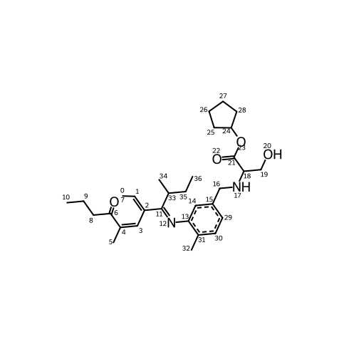 C/C=C(\C=C(\C)C(=O)CCC)C(=N/c1cc(CNC(CO)C(=O)OC2CCCC2)ccc1C)/C(C)CC